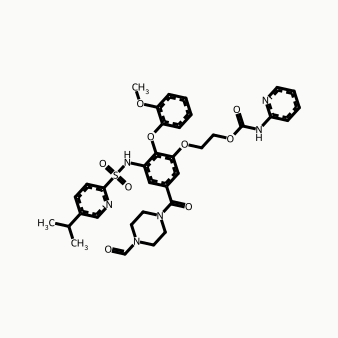 COc1ccccc1Oc1c(NS(=O)(=O)c2ccc(C(C)C)cn2)cc(C(=O)N2CCN(C=O)CC2)cc1OCCOC(=O)Nc1ccccn1